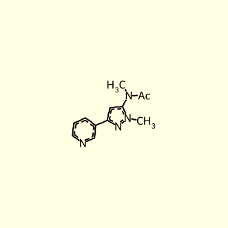 CC(=O)N(C)c1cc(-c2cccnc2)nn1C